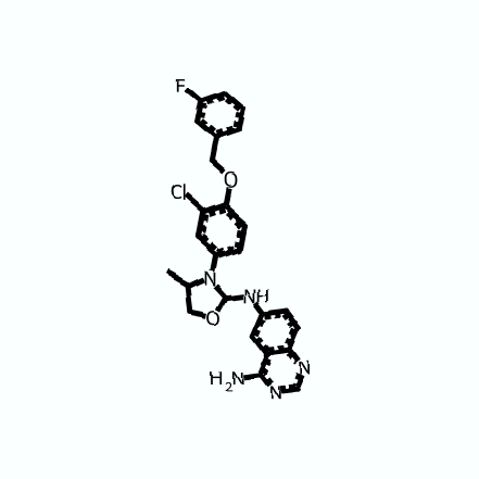 CC1COC(Nc2ccc3ncnc(N)c3c2)N1c1ccc(OCc2cccc(F)c2)c(Cl)c1